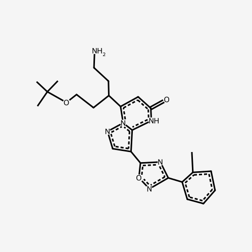 Cc1ccccc1-c1noc(-c2cnn3c(C(CCN)CCOC(C)(C)C)cc(=O)[nH]c23)n1